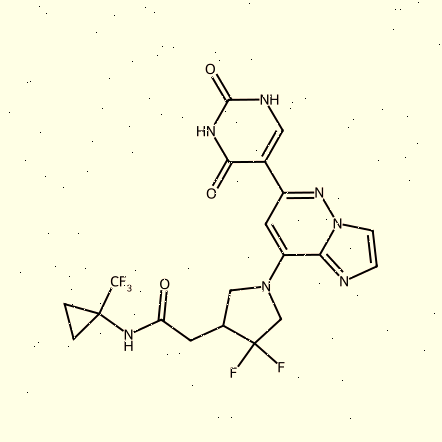 O=C(CC1CN(c2cc(-c3c[nH]c(=O)[nH]c3=O)nn3ccnc23)CC1(F)F)NC1(C(F)(F)F)CC1